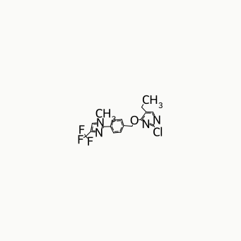 CCc1cnc(Cl)nc1OCc1ccc(-c2nc(C(F)(F)F)cn2C)cc1